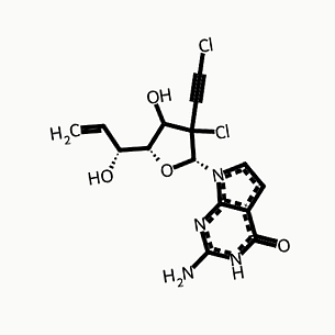 C=C[C@@H](O)[C@H]1O[C@@H](n2ccc3c(=O)[nH]c(N)nc32)C(Cl)(C#CCl)C1O